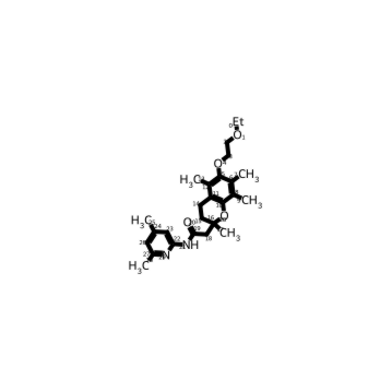 CCOCCOc1c(C)c(C)c2c(c1C)CCC(C)(CC(=O)Nc1cc(C)cc(C)n1)O2